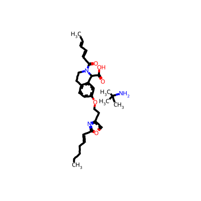 CC(C)(C)N.CC=CC=CC(=O)N1CCc2ccc(OCCc3coc(/C=C/CCCC)n3)cc2C1C(=O)O